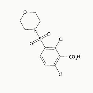 O=C(O)c1c(Cl)ccc(S(=O)(=O)N2CCOCC2)c1Cl